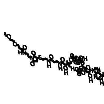 CCOCCOCCC(=O)NCCN1C(=O)CC(SCCNC(=O)CCNC(=O)[C@H](O)C(C)(C)COP(=O)(O)OP(=O)(O)OC[C@H]2O[C@@H](n3cnc4c3N=CNC4N)[C@@H](O)C2OP(=O)(O)O)C1=O